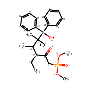 CC[C@H](C(=O)CP(=O)(OC)OC)C(C)C(C)(C)[Si](O)(c1ccccc1)c1ccccc1